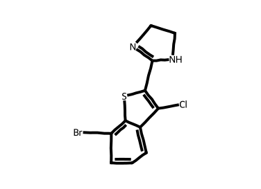 Clc1c(C2=NCCN2)sc2c(Br)cccc12